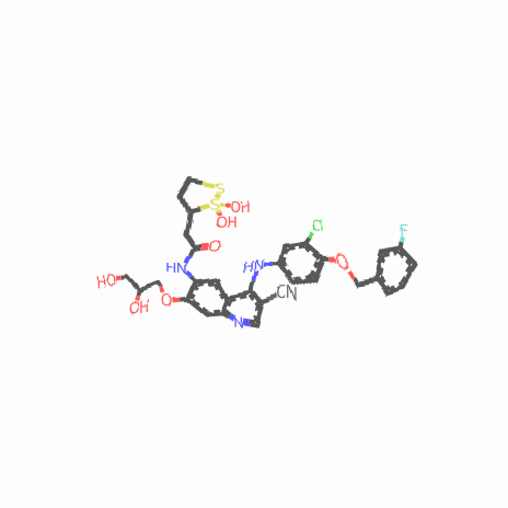 N#Cc1cnc2cc(OCC(O)CO)c(NC(=O)CC3CCSS3(O)O)cc2c1Nc1ccc(OCc2cccc(F)c2)c(Cl)c1